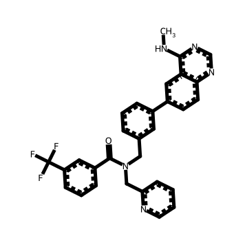 CNc1ncnc2ccc(-c3cccc(CN(Cc4ccccn4)C(=O)c4cccc(C(F)(F)F)c4)c3)cc12